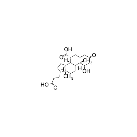 C[C@]12C(O)CC(=O)CC1C[C@@H](C(=O)O)[C@@H]1[C@@H]2CC[C@]2(C)[C@H](CCC(=O)O)CC[C@@H]12